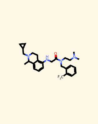 CC1c2cccc(NCC(=O)N(CCN(C)C)Cc3ccccc3C(F)(F)F)c2CCN1CC1CC1